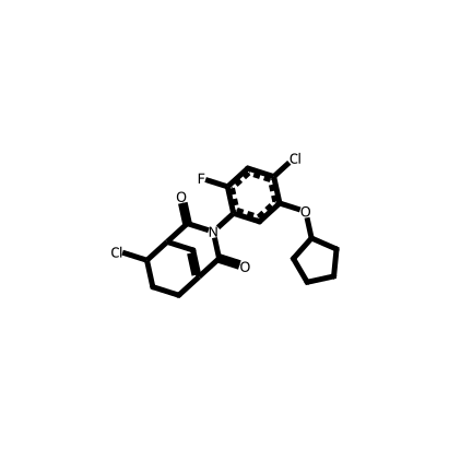 O=C1C2=CC(C(=O)N1c1cc(OC3CCCC3)c(Cl)cc1F)C(Cl)CC2